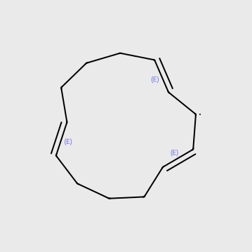 [CH]1/C=C/CCC/C=C/CCC/C=C/1